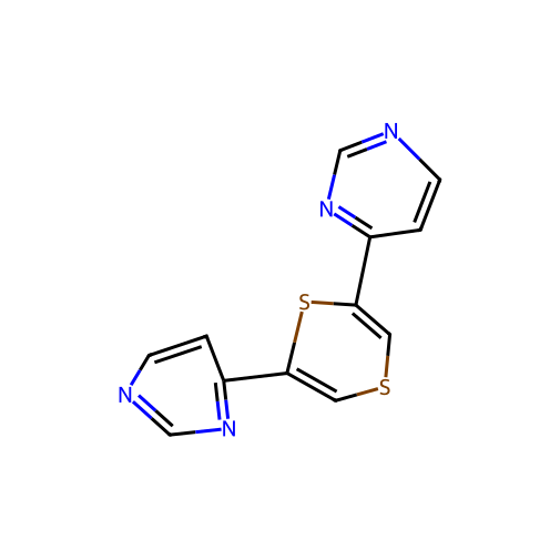 C1=C(c2ccncn2)SC(c2ccncn2)=CS1